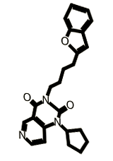 O=c1c2cnccc2n(C2CCCC2)c(=O)n1CCCCc1cc2ccccc2o1